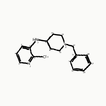 Clc1ncccc1NC1CCN(Cc2ccccc2)CC1